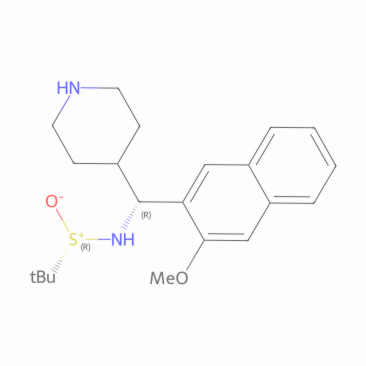 COc1cc2ccccc2cc1[C@H](N[S@@+]([O-])C(C)(C)C)C1CCNCC1